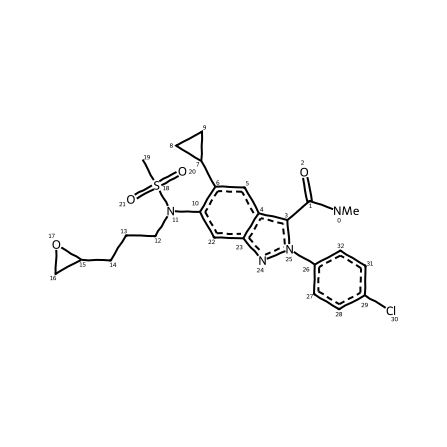 CNC(=O)c1c2cc(C3CC3)c(N(CCCC3CO3)S(C)(=O)=O)cc2nn1-c1ccc(Cl)cc1